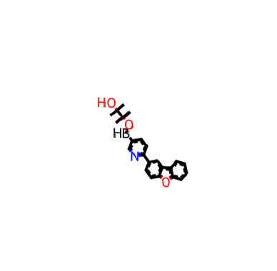 CC(C)(O)C(C)(C)OBc1ccc(-c2ccc3oc4ccccc4c3c2)nc1